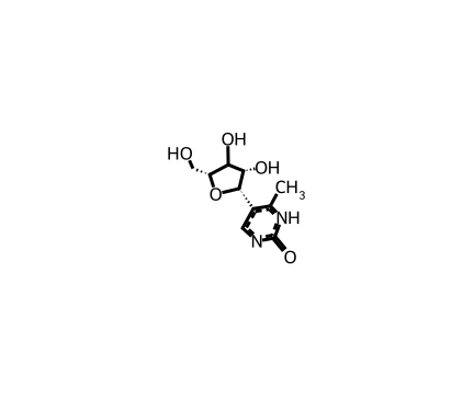 Cc1[nH]c(=O)ncc1[C@@H]1O[C@H](CO)C(O)[C@@H]1O